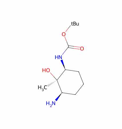 CC(C)(C)OC(=O)N[C@H]1CCC[C@@H](N)[C@@]1(C)O